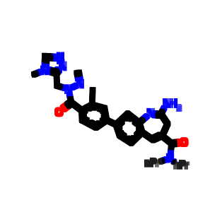 C=NN(Cc1nncn1C)C(=O)c1ccc(-c2ccc3c(c2)N=C(N)CC(C(=O)N(CCC)CCC)=C3)cc1C